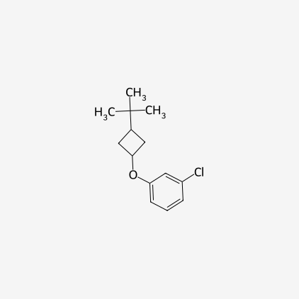 CC(C)(C)C1CC(Oc2cccc(Cl)c2)C1